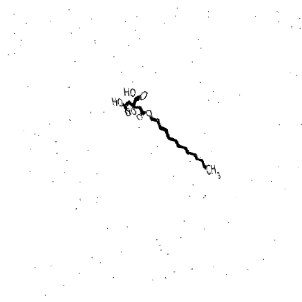 CCCCCCCCCCCCCCOC(=O)CC(O)(CC(=O)O)C(=O)O